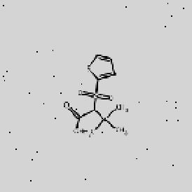 CC(C)(C)C(C(=O)O)S(=O)(=O)c1cccs1